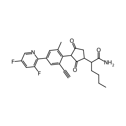 C#Cc1cc(-c2ncc(F)cc2F)cc(C)c1C1C(=O)CC(C(CCCC)C(N)=O)C1=O